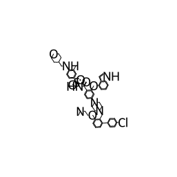 Cc1cc(S(=O)(=O)NC(=O)c2ccc(N3CCN(Cc4c(OCCN(C)C)cccc4-c4ccc(Cl)cc4)CC3)cc2Oc2cccc3[nH]ccc23)ccc1NCC1CCOCC1